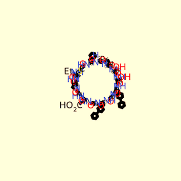 CCNC(=O)[C@@H]1CSCC(=O)N[C@@H](Cc2ccccc2)C(=O)NC(C(C)C)C(=O)N2CCC[C@H]2C(=O)N[C@@H]([C@@H](C)O)C(=O)N[C@@H]([C@@H](C)O)C(=O)N[C@@H](Cc2ccc(-c3ccccc3)cc2)C(=O)N(C)[C@@H](C)C(=O)N[C@@H](Cc2ccc(-c3ccccc3)cc2)C(=O)N(C)[C@@H](C)C(=O)N[C@@H](CCC(=O)O)C(=O)N[C@@H](C)C(=O)N2CCC[C@H]2C(=O)N1